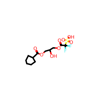 O=C(OCC(O)COC(=O)C(F)(F)S(=O)(=O)O)C1CCCCC1